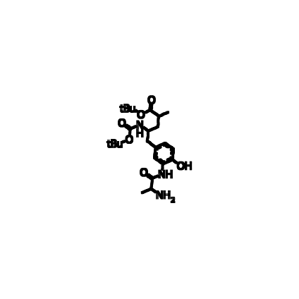 CC(N)C(=O)Nc1cc(CC(CC(C)C(=O)OC(C)(C)C)NC(=O)OC(C)(C)C)ccc1O